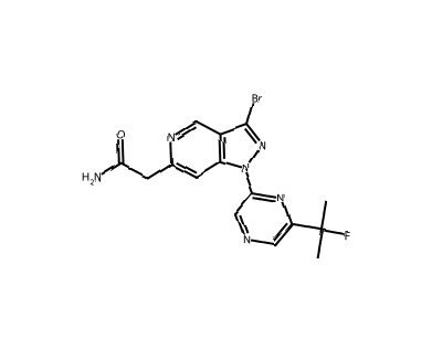 CC(C)(F)c1cncc(-n2nc(Br)c3cnc(CC(N)=O)cc32)n1